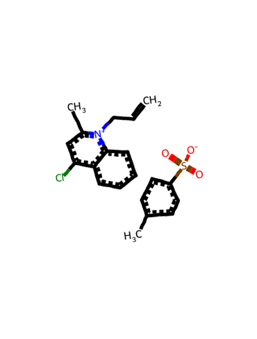 C=CC[n+]1c(C)cc(Cl)c2ccccc21.Cc1ccc(S(=O)(=O)[O-])cc1